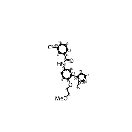 COCCOc1ccc(NC(=O)c2cccc(Cl)c2)cc1-c1ccnn1C